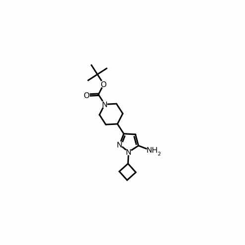 CC(C)(C)OC(=O)N1CCC(c2cc(N)n(C3CCC3)n2)CC1